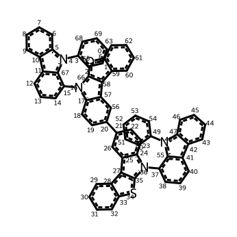 c1ccc(-n2c3ccccc3c3cccc(-n4c5ccc(-c6ccc7c(c6)c6c8ccccc8sc6n7-c6cccc7c8ccccc8n(-c8ccccc8)c67)cc5c5c6ccccc6oc54)c32)cc1